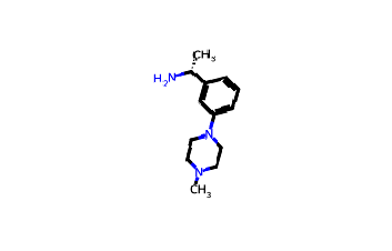 C[C@@H](N)c1cccc(N2CCN(C)CC2)c1